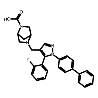 O=C(O)N1CC2CC1CN2Cc1cnn(-c2ccc(-c3ccccc3)cc2)c1-c1ccccc1F